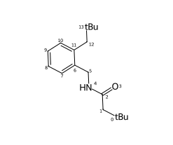 CC(C)(C)CC(=O)NCc1ccccc1CC(C)(C)C